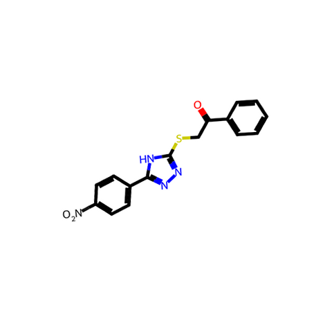 O=C(CSc1nnc(-c2ccc([N+](=O)[O-])cc2)[nH]1)c1ccccc1